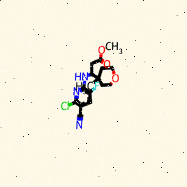 COC(=O)CC(Nc1nc(Cl)c(C#N)cc1F)C1(C)CCOCC1